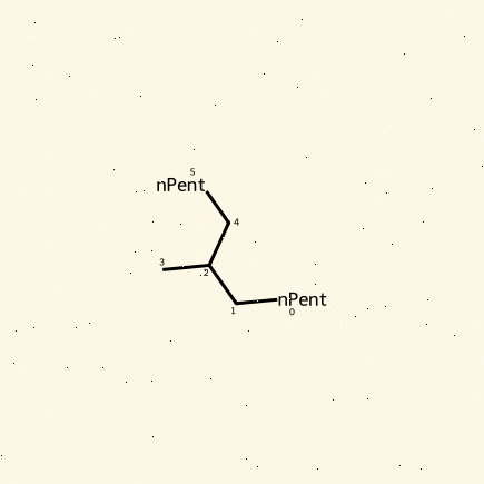 [CH2]CCCCCC(C)CCCCCC